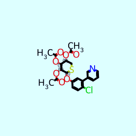 CC(=O)O[C@@H]1[C@@H](OC(C)=O)[C@H](OC(C)=O)CS[C@H]1Oc1ccc(Cl)c(-c2cccnc2)c1